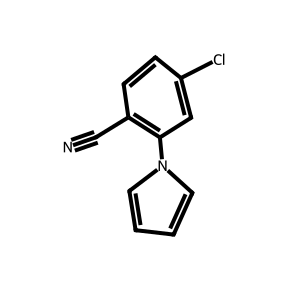 N#Cc1ccc(Cl)cc1-n1cccc1